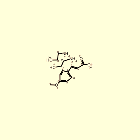 COc1ccc(/C=C/C(=O)O)cc1.NCCO.NCCO